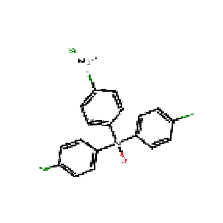 [Br-].[Mg+2].[O-][Si](c1ccc(F)cc1)(c1ccc(F)cc1)c1ccc(F)cc1